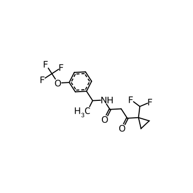 CC(NC(=O)CC(=O)C1(C(F)F)CC1)c1cccc(OC(F)(F)F)c1